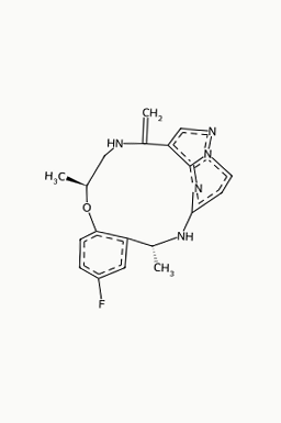 C=C1NC[C@H](C)Oc2ccc(F)cc2[C@@H](C)Nc2ccn3ncc1c3n2